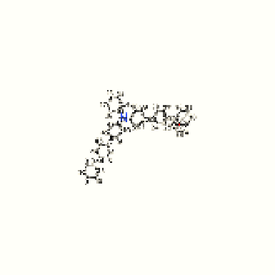 c1ccc(-c2ccc(-c3ccc(N(c4ccccc4)c4ccc(-c5ccc(C67CC8CC(CC(C8)C6)C7)cc5)cc4)cc3)cc2)cc1